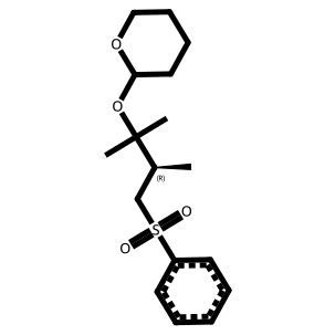 C[C@@H](CS(=O)(=O)c1ccccc1)C(C)(C)OC1CCCCO1